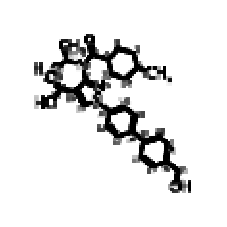 CC1CCC(C(=O)N(c2nn(-c3ccc(-c4ccc(CO)nc4)cc3)cc2C(=O)O)C(C)C)CC1